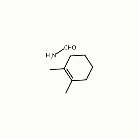 CC1=C(C)CCCC1.NC=O